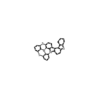 c1cc2c3c(c1)Sc1ccc4c5c6c(ccc5n5c4c1B3c1c(cccc1-5)S2)sc1ccccc16